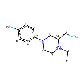 CCN1CCN(c2ccc(F)cc2)CC1CF